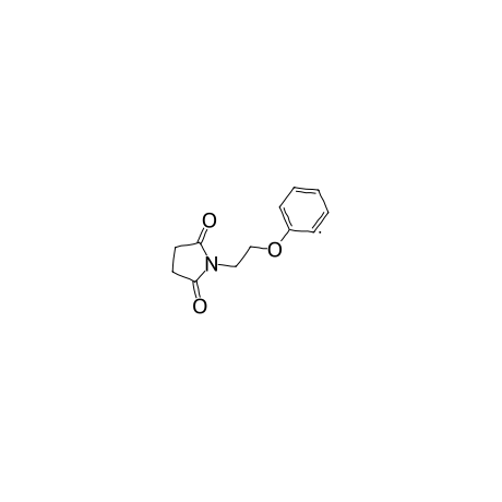 O=C1CCC(=O)N1CCOc1[c]cccc1